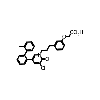 Cc1ccccc1-c1ccccc1-c1cc(Cl)c(=O)n(CCCc2cccc(OCC(=O)O)c2)c1